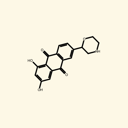 O=C1c2cc(C3CNCCO3)ccc2C(=O)c2c(O)cc(O)cc21